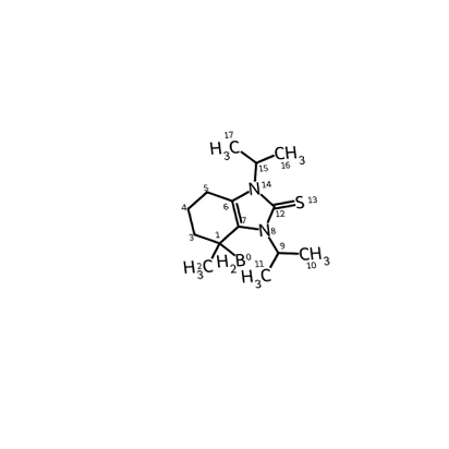 BC1(C)CCCc2c1n(C(C)C)c(=S)n2C(C)C